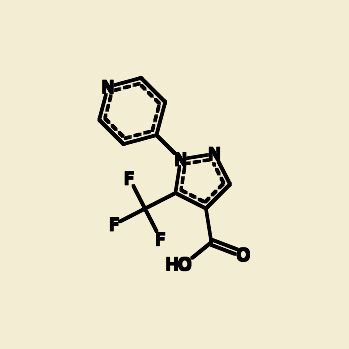 O=C(O)c1cnn(-c2ccncc2)c1C(F)(F)F